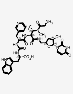 C[C@@H]([C@H](NC(=O)[C@H](Cc1cccnc1)NC(=O)N[C@@H](Cc1c[nH]c2ccccc12)C(=O)O)C(=O)NC[C@H]1C[C@@H](O)[C@H](n2ccc(=O)[nH]c2=O)O1)N(C)C(=O)CN